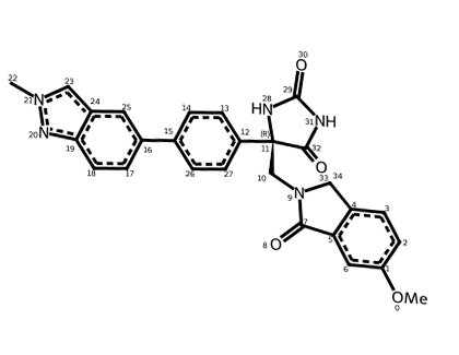 COc1ccc2c(c1)C(=O)N(C[C@@]1(c3ccc(-c4ccc5nn(C)cc5c4)cc3)NC(=O)NC1=O)C2